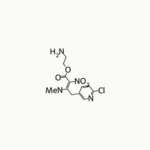 CNC(Cc1ccc(Cl)nc1)=C(C(=O)OCCN)[N+](=O)[O-]